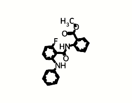 COC(=O)c1ccccc1NC(=O)c1c(F)cccc1Nc1ccccc1